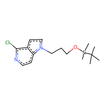 CC(C)(C)[Si](C)(C)OCCCn1ccc2c(Cl)nccc21